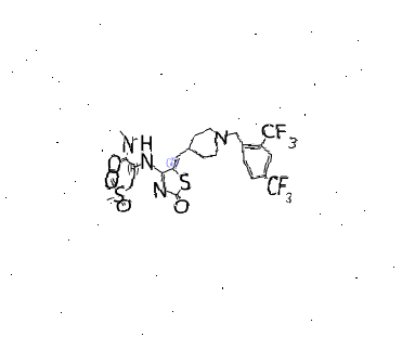 CN(C)C(=O)[C@H](CS(C)(=O)=O)NC1=NC(=O)S/C1=C\C1CCN(Cc2ccc(C(F)(F)F)cc2C(F)(F)F)CC1